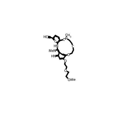 C#Cc1ccc2c(c1)N/C(NC)=C1\C=C(OCCCCCN(C)C2)C(OCCOCCOC)=CC1=N